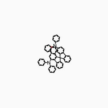 c1ccc(N(c2ccccc2)c2ccc3c(c2)C2(c4ccccc4-3)c3ccccc3-c3c(N(c4ccccc4)c4ccccc4)cc4ccccc4c32)cc1